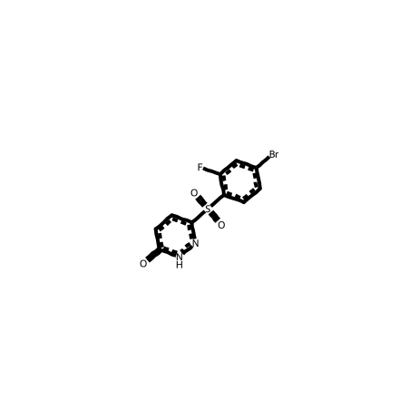 O=c1ccc(S(=O)(=O)c2ccc(Br)cc2F)n[nH]1